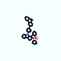 CC1(C)c2ccccc2-c2cc(-c3ccc(-n4c5ccccc5c5ccc6c(c54)-c4ccccc4P6(=O)c4ccccc4)cc3)ccc21